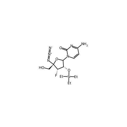 CC[Si](CC)(CC)O[C@H]1C(n2ccc(N)nc2=O)O[C@@](CO)(N=[N+]=[N-])[C@H]1F